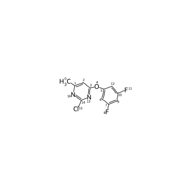 Cc1cc(Oc2cc(F)cc(F)c2)nc(Cl)n1